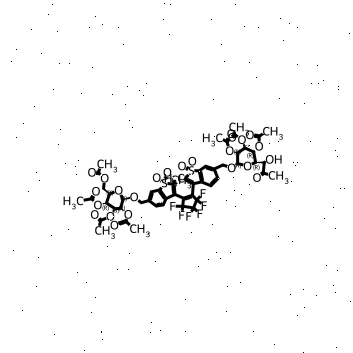 CC(=O)OC[C@H]1O[C@@H](OCc2ccc3c(c2)S(=O)(=O)C(C)=C3C2=C(C3=C(C)S(=O)(=O)c4cc(CO[C@@H]5O[C@H](C(O)C(C)=O)[C@@H](OC(C)=O)[C@H](OC(C)=O)[C@H]5OC(C)=O)ccc43)C(F)(F)C(F)(F)C2(F)F)[C@H](OC(C)=O)[C@@H](OC(C)=O)[C@@H]1OC(C)=O